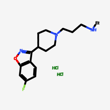 CCNCCCN1CCC(c2noc3cc(F)ccc23)CC1.Cl.Cl